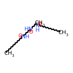 CCCCCCCCCCCCCCCC(=O)NCCCCCC(=O)NCCCC[C@@H](C)NC(=O)CCCCCCCCCCCCCCC